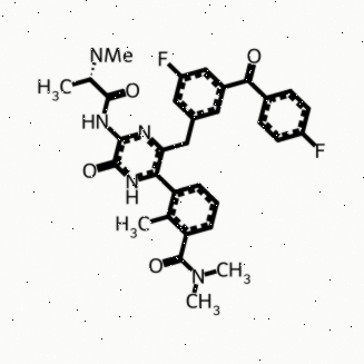 CN[C@@H](C)C(=O)Nc1nc(Cc2cc(F)cc(C(=O)c3ccc(F)cc3)c2)c(-c2cccc(C(=O)N(C)C)c2C)[nH]c1=O